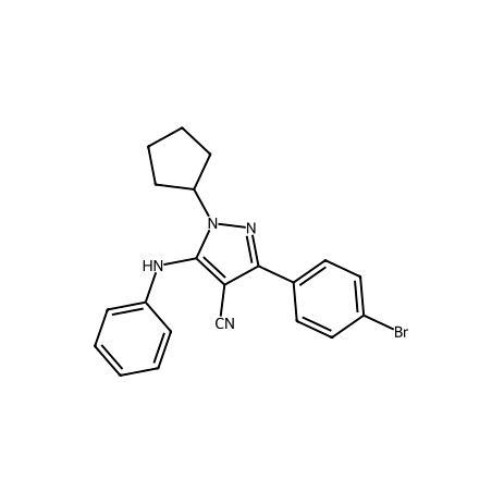 N#Cc1c(-c2ccc(Br)cc2)nn(C2CCCC2)c1Nc1ccccc1